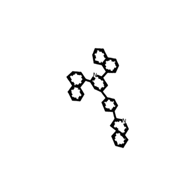 c1ccc2cc(-c3ccc(-c4cc(-c5cccc6ccccc56)nc(-c5cccc6ccccc56)c4)cc3)ncc2c1